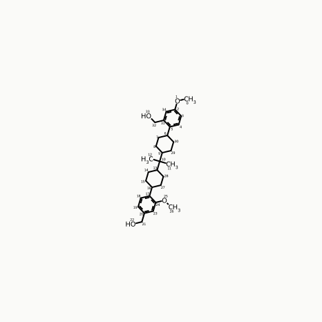 COc1ccc(C2CCC(C(C)(C)C3CCC(c4ccc(CO)cc4OC)CC3)CC2)c(CO)c1